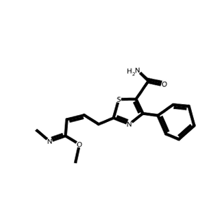 C/N=C(\C=C/Cc1nc(-c2ccccc2)c(C(N)=O)s1)OC